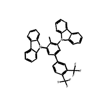 Cc1c(-n2c3ccccc3c3ccccc32)cc(-c2ccc(C(F)(F)F)c(C(F)(F)F)c2)cc1-n1c2ccccc2c2ccccc21